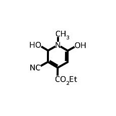 CCOC(=O)C1=C(C#N)C(O)N(C)C(O)=C1